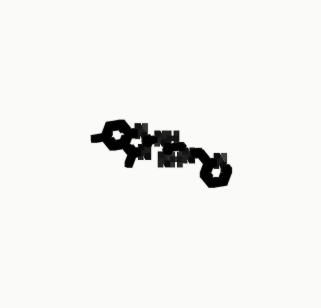 Cc1ccc2nc(NC(=N)C/N=C/c3ccccn3)nc(C)c2c1